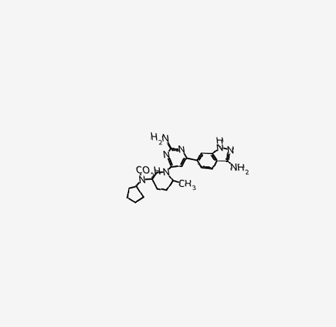 CC1CCC(N(C(=O)O)C2CCCC2)CN1c1cc(-c2ccc3c(N)n[nH]c3c2)nc(N)n1